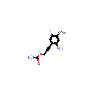 COc1cc(N)c(C#CCOC(N)=O)cc1F